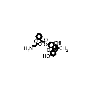 CN1CCC23c4c5ccc(O)c4OC2C(OC(=O)[C@@H](OC(=O)CCN)c2ccccc2)=CC[C@@]3(O)[C@H]1C5